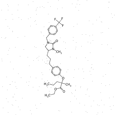 CCCC(C)(Oc1ccc(CCCC2CN(Cc3ccc(C(F)(F)F)cc3)C(=O)N2C)cc1)C(=O)OCC